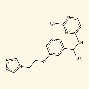 Cc1nccc(NC(C)c2cccc(OCCn3ccnc3)c2)n1